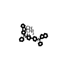 CC1(C)c2ccccc2-c2ccc(N(c3ccccc3)c3ccc(-c4ccc(N(c5ccccc5)c5ccc6ccccc6c5)cc4)cn3)cc21